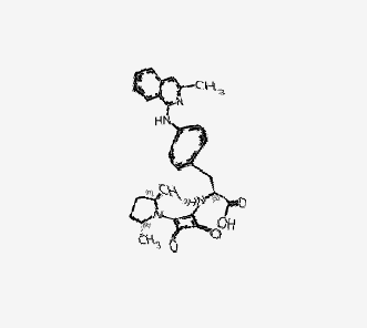 Cc1cc2ccccc2c(Nc2ccc(C[C@H](Nc3c(N4[C@H](C)CC[C@H]4C)c(=O)c3=O)C(=O)O)cc2)n1